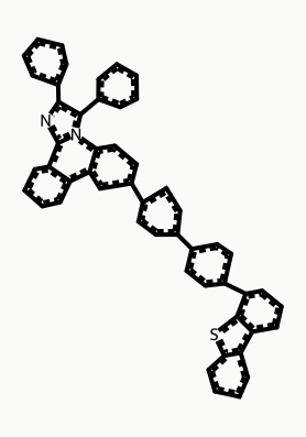 c1ccc(-c2nc3c4ccccc4c4cc(-c5ccc(-c6ccc(-c7cccc8c7sc7ccccc78)cc6)cc5)ccc4n3c2-c2ccccc2)cc1